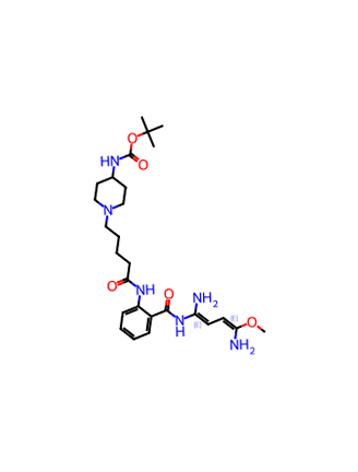 CO/C(N)=C/C=C(\N)NC(=O)c1ccccc1NC(=O)CCCCN1CCC(NC(=O)OC(C)(C)C)CC1